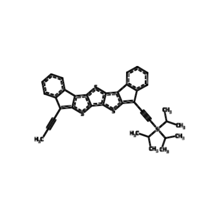 CC#CC1=c2sc3c(sc4c5c(sc43)=C(C#C[Si](C(C)C)(C(C)C)C(C)C)c3ccccc3-5)c2-c2ccccc21